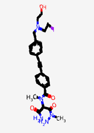 CN(N)C(=O)C(C(N)=O)N(C)C(=O)c1ccc(C#Cc2ccc(CN(CCO)CCI)cc2)cc1